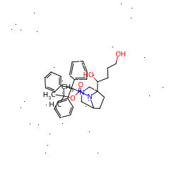 CC(C)(C)OC(=O)N1C2CCC1(C(O)CCCO)CN(C(c1ccccc1)(c1ccccc1)c1ccccc1)C2